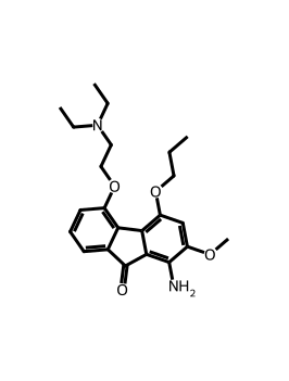 CCCOc1cc(OC)c(N)c2c1-c1c(OCCN(CC)CC)cccc1C2=O